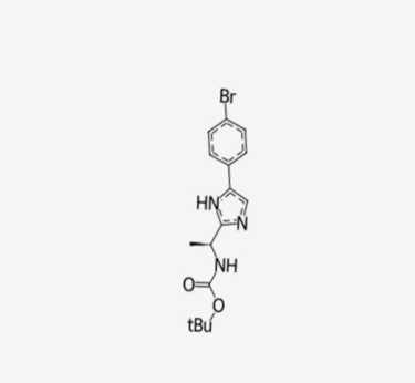 C[C@H](NC(=O)OC(C)(C)C)c1ncc(-c2ccc(Br)cc2)[nH]1